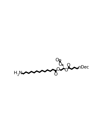 CCCCCCCCCCCCCC(=O)O[C@@H](COP=O)COC(=O)CCCCCCCCCCCCN